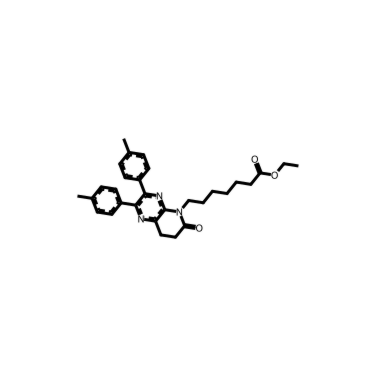 CCOC(=O)CCCCCCN1C(=O)CCc2nc(-c3ccc(C)cc3)c(-c3ccc(C)cc3)nc21